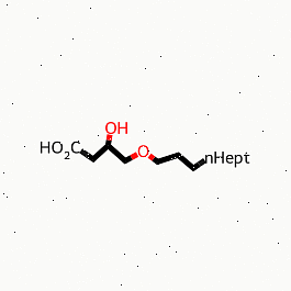 CCCCCCCCCCOCC(O)CC(=O)O